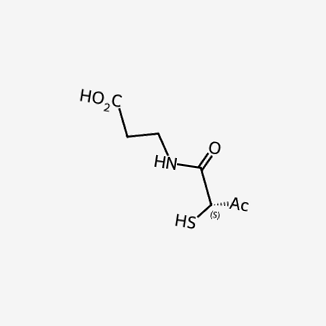 CC(=O)[C@H](S)C(=O)NCCC(=O)O